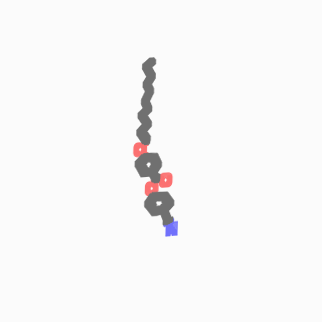 CCCCCCCCCC=COc1ccc(C(=O)Oc2ccc(C#N)cc2)cc1